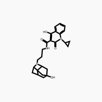 O=C(NCCCN1C2CC3CC1CC(O)(C3)C2)c1c(O)c2ccccc2n(C2CC2)c1=O